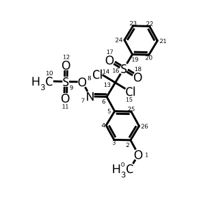 COc1ccc(C(=NOS(C)(=O)=O)C(Cl)(Cl)S(=O)(=O)c2ccccc2)cc1